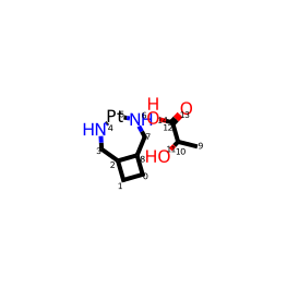 C1CC2C[NH][Pt][NH]CC12.CC(O)C(=O)O